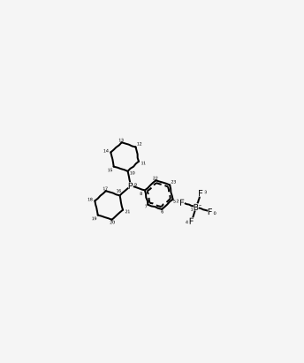 F[B-](F)(F)F.c1ccc(P(C2CCCCC2)C2CCCCC2)cc1